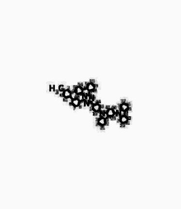 Cc1ccc(-c2cccc(-c3nc(-c4ccc(-n5c6ccccc6c6cc(-n7c8ccccc8c8ccccc87)ccc65)cc4)nc(-c4ccccc4-c4ccccc4)n3)c2)cc1